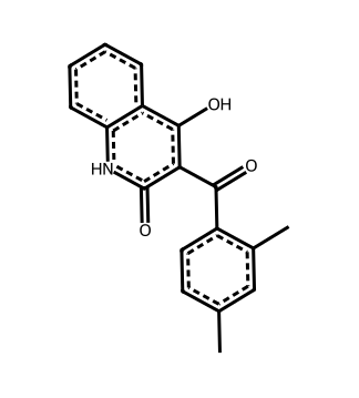 Cc1ccc(C(=O)c2c(O)c3ccccc3[nH]c2=O)c(C)c1